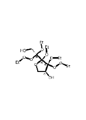 CCOO[C@@](CO)(OCC)[C@@]1(OCC)OC[C@H](O)[C@@]1(OCC)OOCC